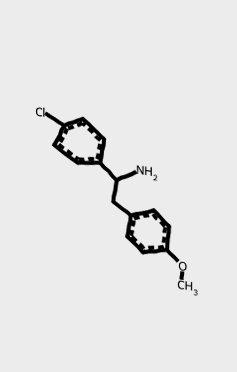 COc1ccc(CC(N)c2ccc(Cl)cc2)cc1